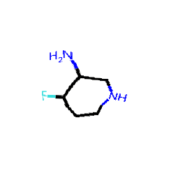 NC1CNCCC1F